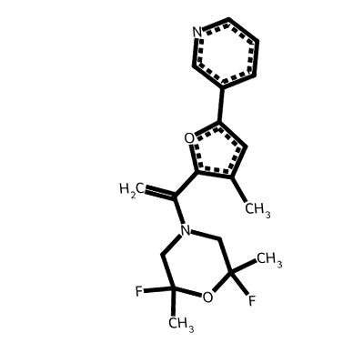 C=C(c1oc(-c2cccnc2)cc1C)N1CC(C)(F)OC(C)(F)C1